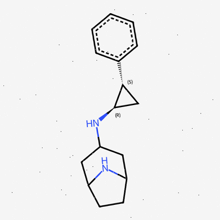 c1ccc([C@@H]2C[C@H]2NC2CC3CCC(C2)N3)cc1